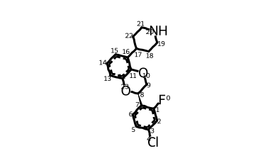 Fc1cc(Cl)ccc1[C@@H]1COc2c(cccc2C2CCNCC2)O1